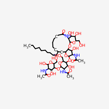 CCCCCCCC/C=C\C1CCCCCCC(=O)NC2C(OC(CO)C(O)C2O)OC2C(C1)OC(OC1C(CO)OC(OC3C(CO)OC(O)C(NC(C)=O)[C@H]3O)C(NC(C)=O)C1O)C(NC(C)=O)C2O